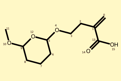 C=C(CCOC1CCCC(OC)O1)C(=O)O